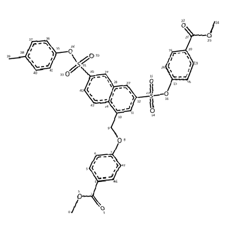 COC(=O)c1ccc(OCc2cc(S(=O)(=O)Oc3ccc(C(=O)OC)cc3)cc3cc(S(=O)(=O)Oc4ccc(C)cc4)ccc23)cc1